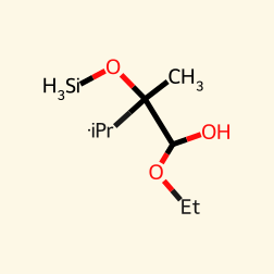 CCOC(O)C(C)(O[SiH3])[C](C)C